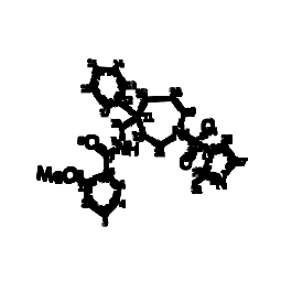 COc1ccccc1C(=O)NCC1(c2ccccc2)CCCN(S(=O)(=O)n2ccnc2C)CC1